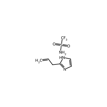 C=CCc1ncc[nH]1.NS(=O)(=O)C(F)(F)F